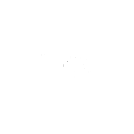 C=C(C)C(=O)O.C=C(C)C(=O)O.OC(F)C(F)C(F)C(F)C(O)(F)F